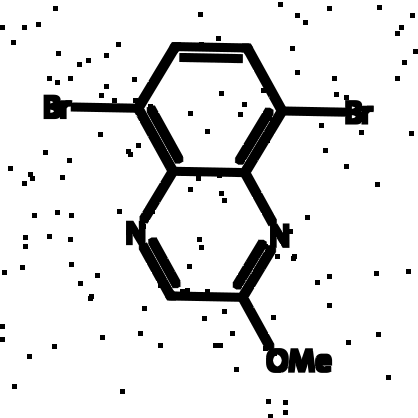 COc1cnc2c(Br)ccc(Br)c2n1